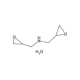 C(NCC1CO1)C1CO1.O